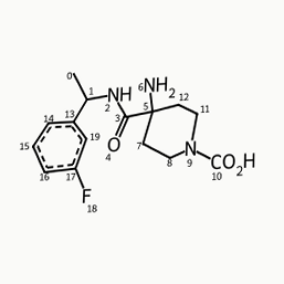 CC(NC(=O)C1(N)CCN(C(=O)O)CC1)c1cccc(F)c1